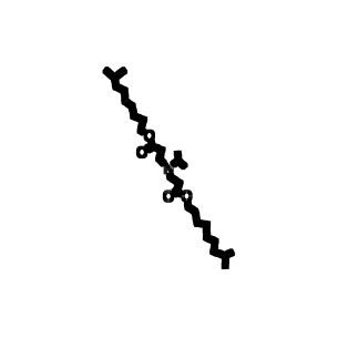 CC(C)CCCCCCCOC(=O)CCN(CCC(=O)OCCCCCCCC(C)C)C(C)C